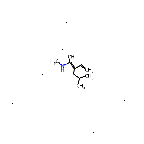 C=C/C(CC(C)C)=C(\C)NC